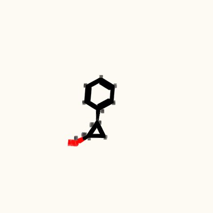 O[C@@H]1C[C@H]1c1ccccc1